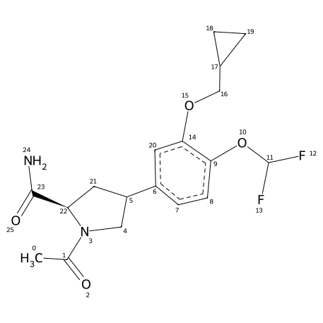 CC(=O)N1CC(c2ccc(OC(F)F)c(OCC3CC3)c2)C[C@@H]1C(N)=O